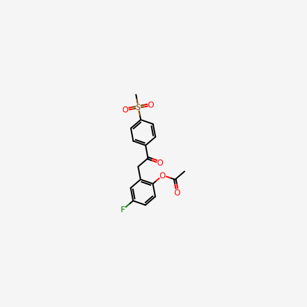 CC(=O)Oc1ccc(F)cc1CC(=O)c1ccc(S(C)(=O)=O)cc1